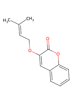 CC(C)=CCOc1cc2ccccc2oc1=O